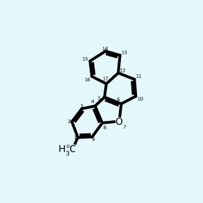 Cc1ccc2c3c(oc2c1)C=CC1C=CC=CC31